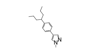 CCCC(CCC)c1ccc(-c2cnn(C)c2)cc1